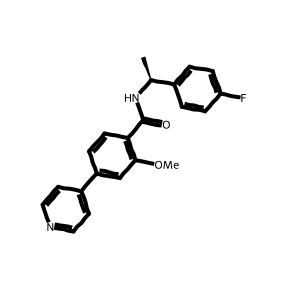 COc1cc(-c2ccncc2)ccc1C(=O)N[C@@H](C)c1ccc(F)cc1